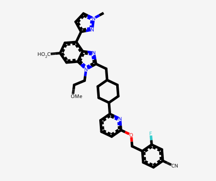 COCCn1c(CC2CCC(c3cccc(OCc4ccc(C#N)cc4F)n3)CC2)nc2c(-c3ccn(C)n3)cc(C(=O)O)cc21